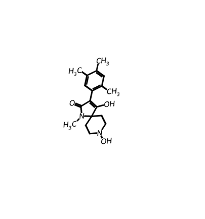 Cc1cc(C)c(C2=C(O)C3(CCN(O)CC3)N(C)C2=O)cc1C